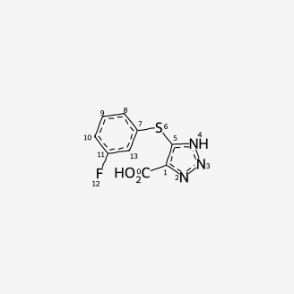 O=C(O)c1nn[nH]c1Sc1cccc(F)c1